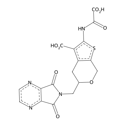 O=C(O)C(=O)Nc1sc2c(c1C(=O)O)CC(CN1C(=O)c3nccnc3C1=O)OC2